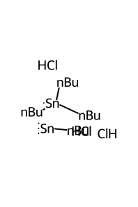 CCC[CH2][Sn].CCC[CH2][Sn]([CH2]CCC)[CH2]CCC.Cl.Cl.Cl